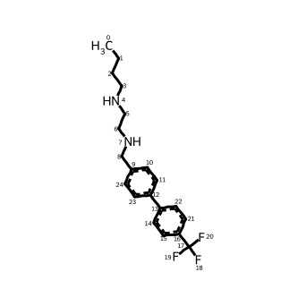 CCCCNCCNCc1ccc(-c2ccc(C(F)(F)F)cc2)cc1